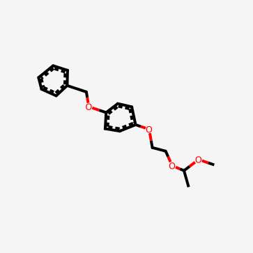 COC(C)OCCOc1ccc(OCc2ccccc2)cc1